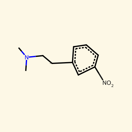 CN(C)C[CH]c1cccc([N+](=O)[O-])c1